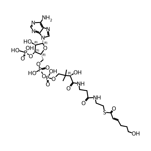 CC(C)(COP(=O)(O)OP(=O)(O)OC[C@H]1O[C@@H](n2cnc3c(N)ncnc32)[C@H](O)[C@@H]1OP(=O)(O)O)[C@@H](O)C(=O)NCCC(=O)NCCSC(=O)C=CCCCO